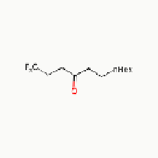 CCCCCCCCC(=O)CCC(F)(F)F